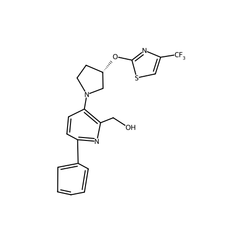 OCc1nc(-c2ccccc2)ccc1N1CC[C@H](Oc2nc(C(F)(F)F)cs2)C1